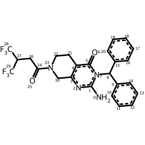 Nc1nc2c(c(=O)n1C(c1ccccc1)c1ccccc1)CCN(C(=O)CC(C(F)(F)F)C(F)(F)F)C2